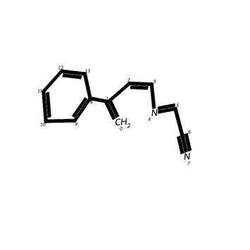 C=C(/C=C\N=C\C#N)c1ccccc1